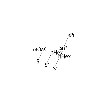 CCCCCC[S-].CCCCCC[S-].CCCCCC[S-].CC[CH2][Sn+3]